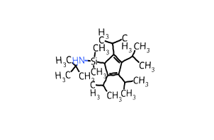 CC(C)C1=C(C(C)C)C([Si](C)(C)NC(C)(C)C)C(C(C)C)=C1C(C)C